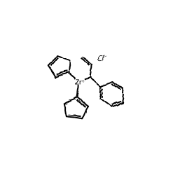 C=C[CH](c1ccccc1)[Zr+]([C]1=CC=CC1)[C]1=CC=CC1.[Cl-]